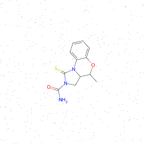 CC1Oc2ccccc2N2C(=S)N(C(N)=O)CC12